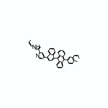 C=C(CN/C=C\C)c1cc(-c2ccc(-c3c4ccccc4c(-c4ccc(C)c(/C=C\C)c4)c4ccccc34)c3ccccc23)ccn1